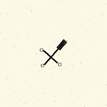 [C]#CC(Cl)(Cl)Cl